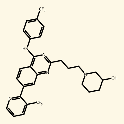 OC1CCCN(CCCc2nc(Nc3ccc(C(F)(F)F)cc3)c3ccc(-c4ncccc4C(F)(F)F)cc3n2)C1